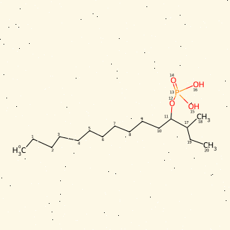 CCCCCCCCCCCC(OP(=O)(O)O)C(C)CC